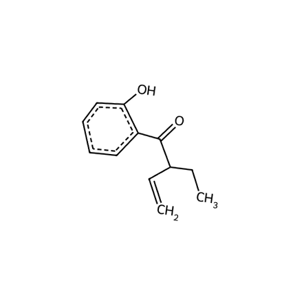 C=CC(CC)C(=O)c1ccccc1O